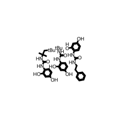 CC(C)(C)CC(C)(C)NC(=O)Nc1ccc(O)cc1O.CC(C)(C)NC(=O)Nc1ccc(O)cc1O.O=C(NCCc1ccccc1)Nc1ccc(O)cc1O